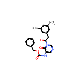 O=C(Nc1cncn(C(=O)Cc2cc([N+](=O)[O-])cc([N+](=O)[O-])c2)c1=O)OCc1ccccc1